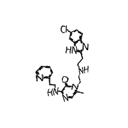 Cc1cnc(NCCc2ccccn2)c(=O)n1CCNCCc1nc2ccc(Cl)cc2[nH]1